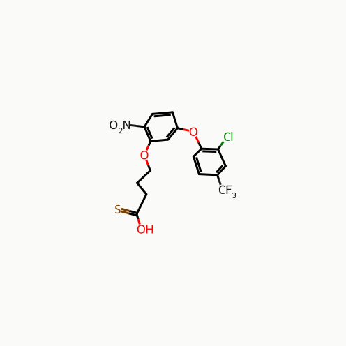 O=[N+]([O-])c1ccc(Oc2ccc(C(F)(F)F)cc2Cl)cc1OCCCC(O)=S